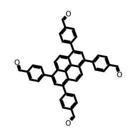 O=Cc1ccc(-c2cc(-c3ccc(C=O)cc3)c3ccc4c(-c5ccc(C=O)cc5)cc(-c5ccc(C=O)cc5)c5ccc2c3c54)cc1